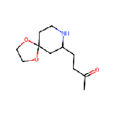 CC(=O)CCC1CC2(CCN1)OCCO2